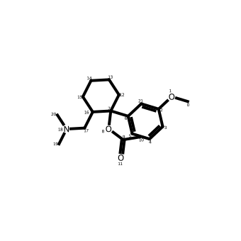 COc1cccc(C2(OC(C)=O)CCCCC2CN(C)C)c1